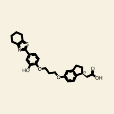 O=C(O)C[C@@H]1CCc2cc(OCCCOc3ccc(-c4nc5c(s4)CCCC5)cc3O)ccc21